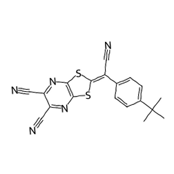 CC(C)(C)c1ccc(C(C#N)=C2Sc3nc(C#N)c(C#N)nc3S2)cc1